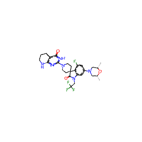 C[C@@H]1CN(c2cc(F)c3c(c2)N(CC(F)(F)F)C(=O)C32CCN(c3nc4c(c(=O)[nH]3)CCCN4)CC2)C[C@H](C)O1